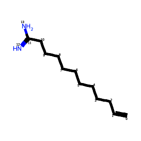 C=CCCCCCCCCCC(=N)N